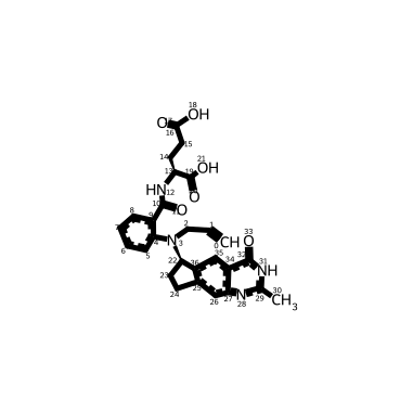 C#CCN(c1ccccc1C(=O)N[C@@H](CCC(=O)O)C(=O)O)[C@@H]1CCc2cc3nc(C)[nH]c(=O)c3cc21